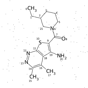 CCC1CCCN(C(=O)c2sc3nnc(C)c(C)c3c2N)C1